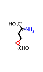 NC(CCOC=O)C(=O)O